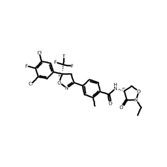 CCN1OC[C@@H](NC(=O)c2ccc(C3=NO[C@](c4cc(Cl)c(F)c(Cl)c4)(C(F)(F)F)C3)cc2C)C1=O